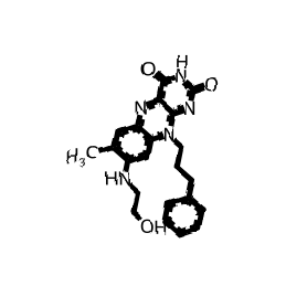 Cc1cc2nc3c(=O)[nH]c(=O)nc-3n(CCCc3ccccc3)c2cc1NCCO